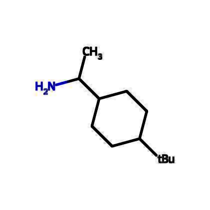 CC(N)C1CCC(C(C)(C)C)CC1